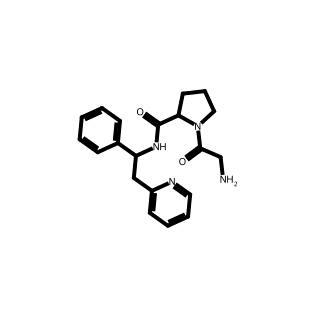 NCC(=O)N1CCCC1C(=O)NC(Cc1ccccn1)c1ccccc1